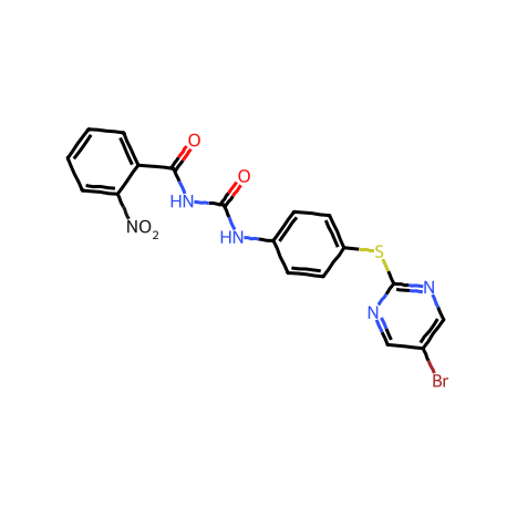 O=C(NC(=O)c1ccccc1[N+](=O)[O-])Nc1ccc(Sc2ncc(Br)cn2)cc1